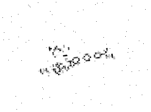 C[Si](C)(C)CCOCn1c(O[C@@H]2CO[C@H]3[C@@H]2OC[C@H]3OC(N)=O)cc2nc(-c3ccc(-c4ccc(C(N)=O)cc4)cc3)c(F)cc21